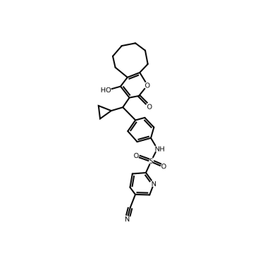 N#Cc1ccc(S(=O)(=O)Nc2ccc(C(c3c(O)c4c(oc3=O)CCCCCC4)C3CC3)cc2)nc1